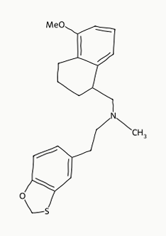 COc1cccc2c1CCCC2CN(C)CCc1ccc2c(c1)SCO2